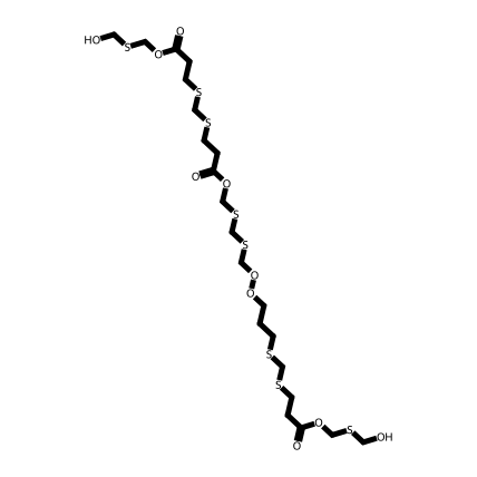 O=C(CCSCSCCCOOCSCSCOC(=O)CCSCSCCC(=O)OCSCO)OCSCO